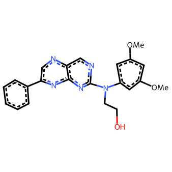 COc1cc(OC)cc(N(CCO)c2ncc3ncc(-c4ccccc4)nc3n2)c1